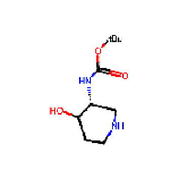 CC(C)(C)OC(=O)N[C@@H]1CNCCC1O